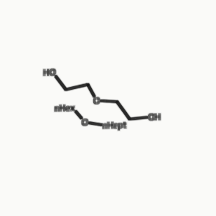 CCCCCCCOCCCCCC.OCCOCCO